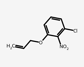 C=CCOc1cccc(Cl)c1[N+](=O)[O-]